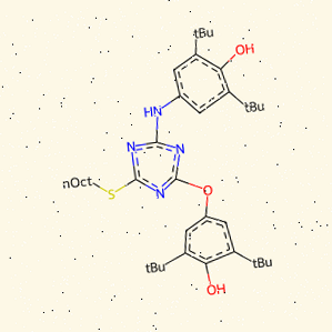 CCCCCCCCSc1nc(Nc2cc(C(C)(C)C)c(O)c(C(C)(C)C)c2)nc(Oc2cc(C(C)(C)C)c(O)c(C(C)(C)C)c2)n1